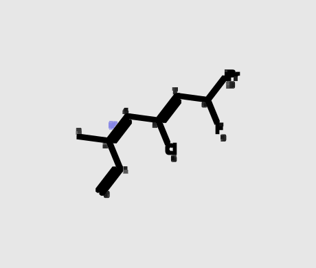 C=C/C(C)=C\C(Cl)=CC(F)C(C)C